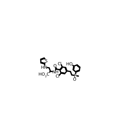 CP(=O)(CCc1cc(Cl)c(C(=O)NC(CNc2cccs2)C(=O)O)c(Cl)c1)c1cccc(O)c1